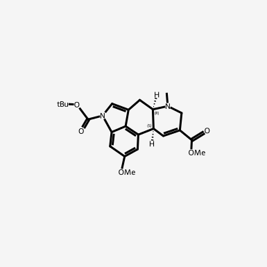 COC(=O)C1=C[C@H]2c3cc(OC)cc4c3c(cn4C(=O)OC(C)(C)C)C[C@H]2N(C)C1